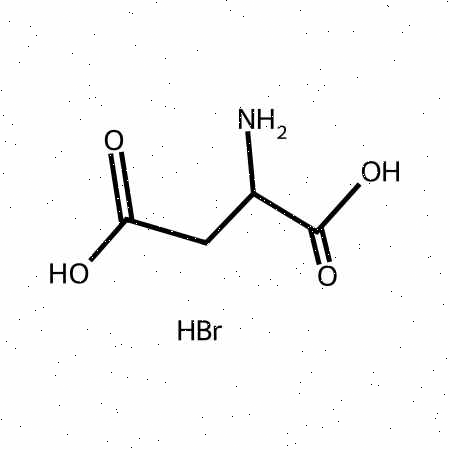 Br.NC(CC(=O)O)C(=O)O